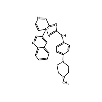 CN1CCN(c2ccc(NC3=N[N+]4(c5cnc6ccccc6c5)C=CN=CC4=N3)cc2)CC1